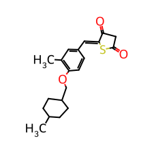 Cc1cc(/C=C2\SC(=O)CC2=O)ccc1OCC1CCC(C)CC1